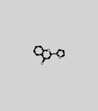 O=c1cc(-c2cccs2)oc2ccccc12